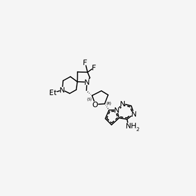 CCN1CCC2(CC1)CC(F)(F)CN2C[C@@H]1CC[C@H](c2ccc3c(N)ncnn23)O1